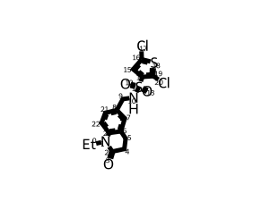 CCN1C(=O)CCc2cc(CNS(=O)(=O)c3cc(Cl)sc3Cl)ccc21